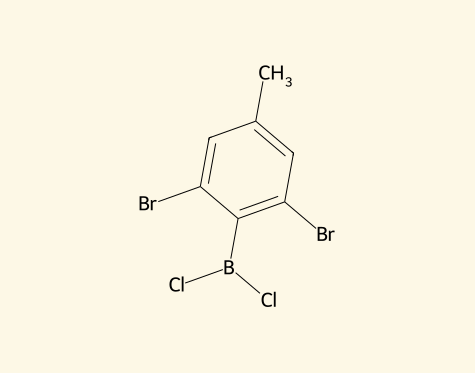 Cc1cc(Br)c(B(Cl)Cl)c(Br)c1